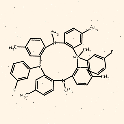 Cc1ccc2c(c1)P(c1cccc(F)c1)c1cc(C)ccc1N(C)c1ccc(C)cc1[PH](C)(c1cccc(F)c1)c1cc(C)ccc1N2C